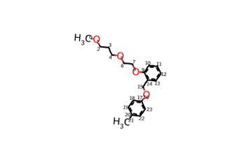 COCCCOCCOc1ccccc1COc1ccc(C)cc1